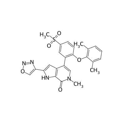 Cc1cccc(C)c1Oc1ccc(S(C)(=O)=O)cc1-c1cn(C)c(=O)c2[nH]c(-c3conn3)cc12